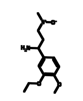 CCOc1cc(C(N)CC[S+](C)[O-])ccc1OC